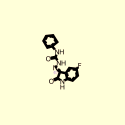 O=C(N/N=C1/C(=O)Nc2ccc(F)cc21)Nc1ccccc1